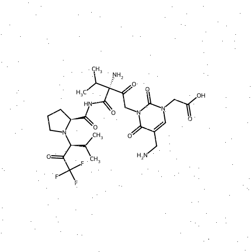 CC(C)[C@@H](C(=O)C(F)(F)F)N1CCC[C@H]1C(=O)NC(=O)[C@](N)(C(=O)Cn1c(=O)c(CN)cn(CC(=O)O)c1=O)C(C)C